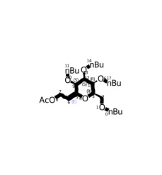 CCCCOC[C@H]1O/C(=C/COC(C)=O)[C@@H](OCCCC)[C@@H](OCCCC)[C@@H]1OCCCC